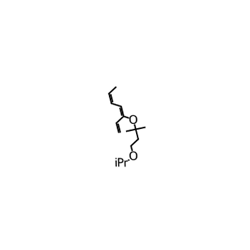 C=C/C(=C\C=C/C)OC(C)(C)CCOC(C)C